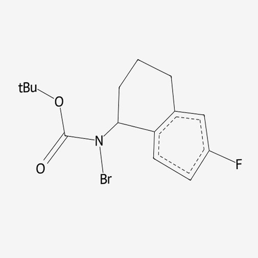 CC(C)(C)OC(=O)N(Br)C1CCCc2cc(F)ccc21